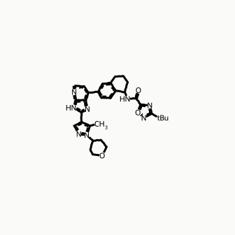 Cc1c(-c2nc3c(-c4ccc5c(c4)CCCC5NC(=O)c4nc(C(C)(C)C)no4)ccnc3[nH]2)cnn1C1CCOCC1